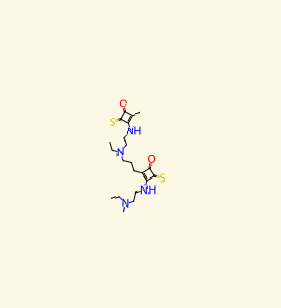 CCN(C)CCNc1c(CCCN(CC)CCNc2c(C)c(=O)c2=S)c(=O)c1=S